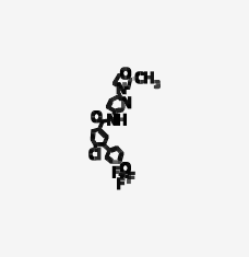 C[C@@H]1CN(c2ccc(NC(=O)c3ccc(Cl)c(-c4ccc(OC(F)(F)F)cc4)c3)cn2)CCO1